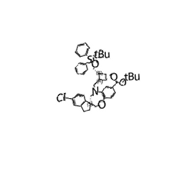 CC(C)(C)OC(=O)c1ccc2c(c1)N(C[C@@H]1CC[C@H]1CO[Si](c1ccccc1)(c1ccccc1)C(C)(C)C)C[C@@]1(CCc3cc(Cl)ccc31)CO2